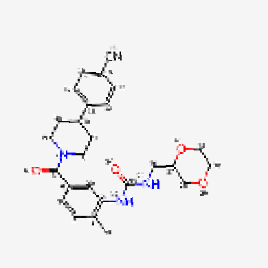 Cc1ccc(C(=O)N2CCC(c3ccc(C#N)cc3)CC2)cc1NC(=O)NCC1COCCO1